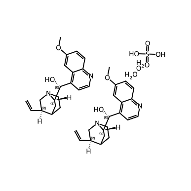 C=C[C@H]1CN2CCC1C[C@H]2[C@H](O)c1ccnc2ccc(OC)cc12.C=C[C@H]1CN2CCC1C[C@H]2[C@H](O)c1ccnc2ccc(OC)cc12.O.O.O=S(=O)(O)O